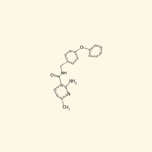 Cc1ccc(C(=O)NCc2ccc(Oc3ccccc3)cc2)c(N)n1